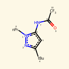 CCCn1nc(C(C)(C)C)cc1NC(=O)C(F)(F)F